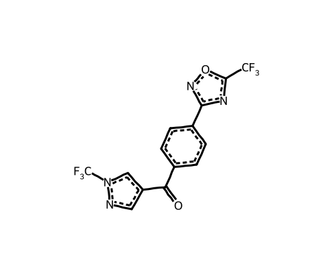 O=C(c1ccc(-c2noc(C(F)(F)F)n2)cc1)c1cnn(C(F)(F)F)c1